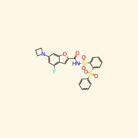 O=C(NS(=O)(=O)c1ccccc1S(=O)(=O)c1ccccc1)c1cc2c(F)cc(N3CCC3)cc2o1